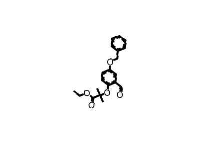 CCOC(=O)C(C)(C)Oc1ccc(OCc2ccccc2)cc1C=O